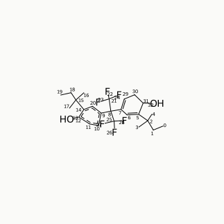 CCC(C)(C)C1=CC(C(c2ccc(O)c(C(C)(C)CC)c2)(C(F)(F)F)C(F)(F)F)=CCC1O